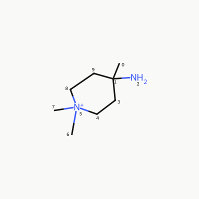 CC1(N)CC[N+](C)(C)CC1